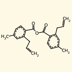 C=CCc1cc(C)ccc1C(=O)OC(=O)c1ccc(C)cc1CC=C